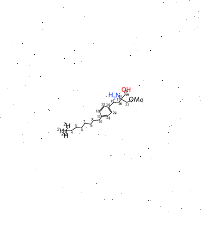 [2H]C([2H])([2H])CCCCCCCc1ccc(CCC(N)(CO)COC)cc1